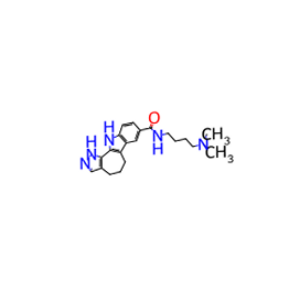 CN(C)CCCCNC(=O)c1ccc2[nH]c3c(c2c1)CCCc1cn[nH]c1-3